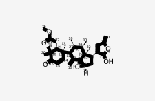 C=C1C=C([C@@H]2C[C@H]3OC34C(=C)C([C@@]3(C)C=CC(=O)C(C)(C)[C@@H]3CC(=O)OC)[C@H](C)[C@H](C)[C@@]24C)C(O)O1